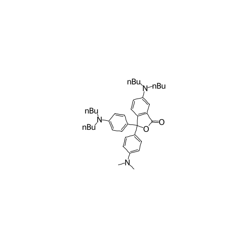 CCCCN(CCCC)c1ccc(C2(c3ccc(N(C)C)cc3)OC(=O)c3cc(N(CCCC)CCCC)ccc32)cc1